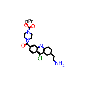 CCCOC(=O)N1CCN(C(=O)c2ccc3c(Cl)c4c(nc3c2)CCC(CCN)C4)CC1